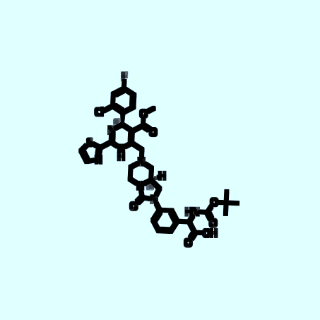 COC(=O)C1=C(CN2CCN3C(=O)N(c4cccc(C(NC(=O)OC(C)(C)C)C(=O)O)c4)C[C@@H]3C2)NC(c2nccs2)=N[C@H]1c1ccc(F)cc1Cl